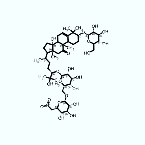 C[C@H](CC[C@@H](O[C@@H]1O[C@H](CO[C@@H]2O[C@H](C[N+](=O)[O-])[C@@H](O)[C@H](O)[C@H]2O)[C@@H](O)[C@H](O)[C@H]1O)C(C)(C)O)C1CC[C@@]2(C)C3CC=C4C(CC[C@H](O[C@@H]5OC(CO)[C@@H](O)[C@H](O)[C@H]5O)C4(C)C)[C@]3(C)C(=O)C[C@]12C